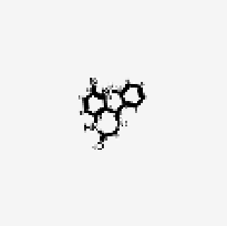 O=C1CN=C(c2ccccc2Br)c2cc(Br)ccc2N1